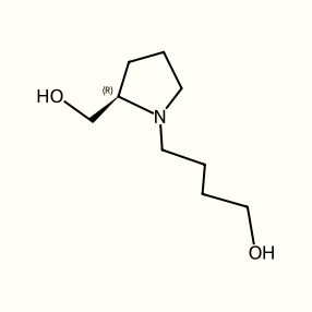 OCCCCN1CCC[C@@H]1CO